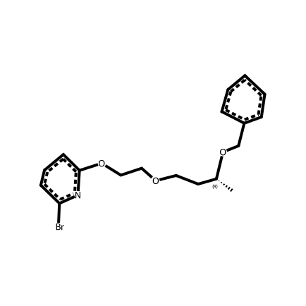 C[C@H](CCOCCOc1cccc(Br)n1)OCc1ccccc1